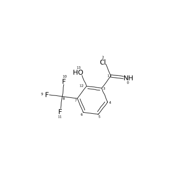 N=C(Cl)c1cccc(C(F)(F)F)c1O